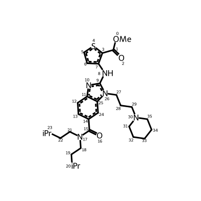 COC(=O)c1sccc1Nc1nc2ccc(C(=O)N(CCC(C)C)CCC(C)C)cc2n1CCCN1CCCCC1